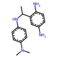 CC(Nc1ccc(N(C)C)cc1)c1cc(N)ccc1N